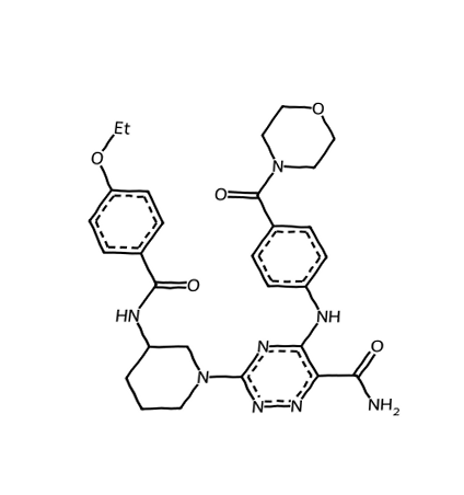 CCOc1ccc(C(=O)NC2CCCN(c3nnc(C(N)=O)c(Nc4ccc(C(=O)N5CCOCC5)cc4)n3)C2)cc1